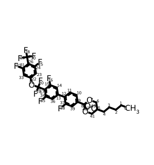 CCCCCC12COC(c3ccc(-c4cc(F)c(C(F)(F)Oc5cc(F)c(C(F)(F)F)c(F)c5)c(F)c4)c(F)c3)(OC1)OC2